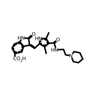 Cc1[nH]c(C=C2C(=O)Nc3ccc(C(=O)O)cc32)c(C)c1C(=O)NCCN1CCCCC1